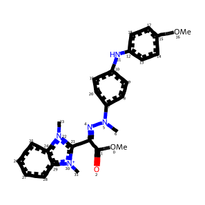 COC(=O)/C(=N\N(C)c1ccc(Nc2ccc(OC)cc2)cc1)c1n(C)c2ccccc2[n+]1C